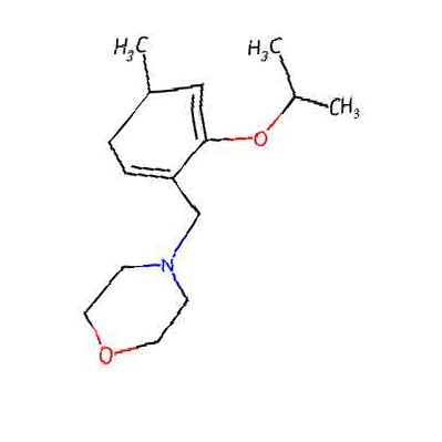 CC1C=C(OC(C)C)C(CN2CCOCC2)=CC1